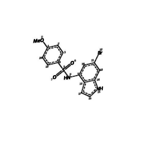 COc1ccc(S(=O)(=O)Nc2cc(Br)cc3[nH]ccc23)cc1